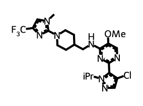 COc1cnc(-c2c(Cl)cnn2C(C)C)nc1NCC1CCN(c2nc(C(F)(F)F)cn2C)CC1